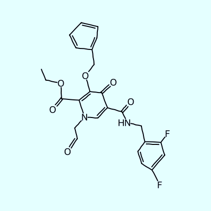 CCOC(=O)c1c(OCc2ccccc2)c(=O)c(C(=O)NCc2ccc(F)cc2F)cn1CC=O